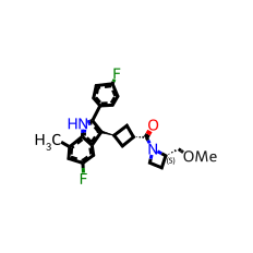 COC[C@@H]1CCN1C(=O)[C@H]1C[C@H](c2c(-c3ccc(F)cc3)[nH]c3c(C)cc(F)cc32)C1